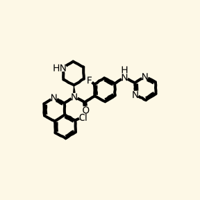 O=C(c1ccc(Nc2ncccn2)cc1F)N(c1nccc2cccc(Cl)c12)[C@@H]1CCCNC1